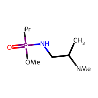 CNC(C)CNP(=O)(OC)C(C)C